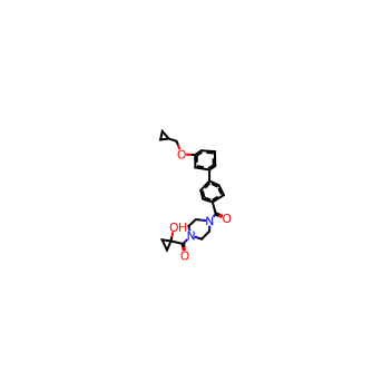 O=C(c1ccc(-c2cccc(OCC3CC3)c2)cc1)N1CCN(C(=O)C2(O)CC2)CC1